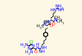 CN(C)C(=O)[C@H](CCCCNC(=N)N)NC(=O)[C@H](CCc1ccc(CCCCNC(=N)NC(=O)c2nc(Cl)c(N)nc2N)cc1)N(C)C